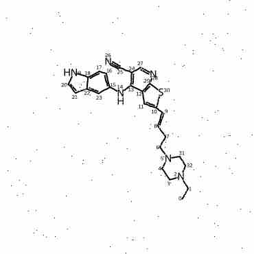 CCN1CCN(CCC=Cc2cc3c(Nc4ccc5[nH]ccc5c4)c(C#N)cnc3s2)CC1